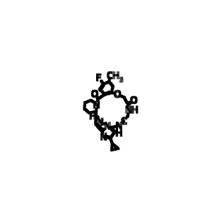 CC1CC2=C(C=C1F)C(=O)N1CCCC[C@H]1c1cc3nc(C4CC4)cc(n3n1)NCCNC(=O)CO2